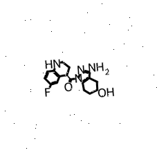 Nc1nn(C(=O)[C@@H]2CCNc3ccc(F)cc32)c2c1C[C@@H](O)CC2